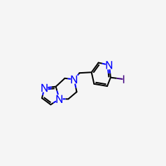 Ic1ccc(CN2CCn3ccnc3C2)cn1